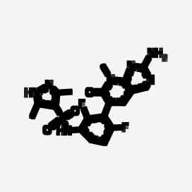 Cc1n[nH]c(C)c1S(=O)(=O)Nc1ccc(F)c(-c2cc3cnc(N)nc3n(C)c2=O)c1F